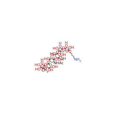 CC(=O)NC1CC(O[C@@H]2OC(CO)[C@H](O)C(O)C2O[C@@H]2OC(C)[C@@H](O)C(O)C2O)[C@@H](O)C(CO)O[C@H]1OC1CC(O)[C@@H](O[C@H]2C(CO)O[C@@H](O[C@@H]3C(CF)O[C@@H](OCCCCCN)C(O)C3O)C(O)C2O)OC(CO)[C@@H]1O